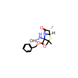 C[C@H]1C(=O)N2[C@@H]1SC(C)(C)[C@]2(NC=O)C(=O)OCc1ccccc1